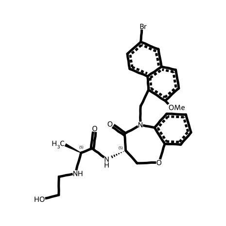 COc1ccc2cc(Br)ccc2c1CN1C(=O)[C@@H](NC(=O)[C@H](C)NCCO)COc2ccccc21